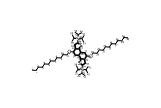 CCCCCCCCCCCCOc1cc2c(cc(OCCCCCCCCCCCC)c3cc([Si](C(C)C)(C(C)C)C(C)C)sc32)c2sc([Si](C(C)C)(C(C)C)C(C)C)cc12